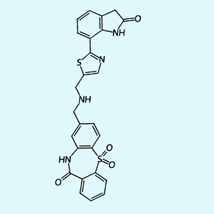 O=C1Cc2cccc(-c3ncc(CNCc4ccc5c(c4)NC(=O)c4ccccc4S5(=O)=O)s3)c2N1